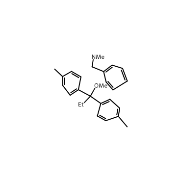 CCC(OC)(c1ccc(C)cc1)c1ccc(C)cc1.CNCc1ccccc1